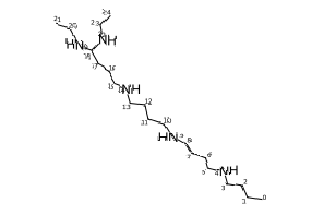 CCCCNCCCCNCCCCNCCCC(NCC)NCC